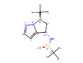 CC(C)(C)[C@H]1C[C@H](N[S@+]([O-])C(C)(C)C)c2ccnn21